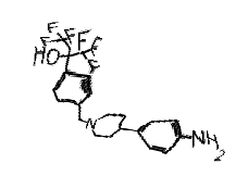 Nc1ccc(C2CCN(Cc3ccc(C(O)(C(F)(F)F)C(F)(F)F)cc3)CC2)cc1